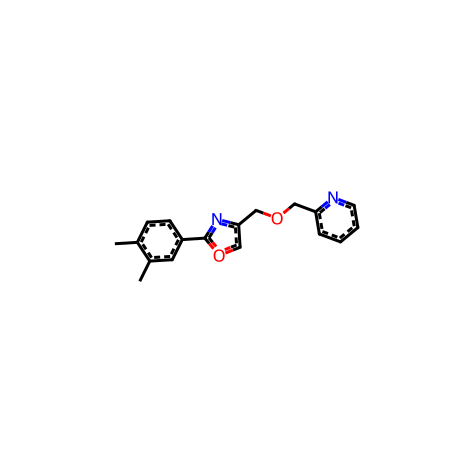 Cc1ccc(-c2nc(COCc3ccccn3)co2)cc1C